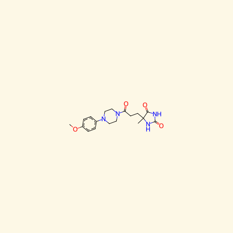 COc1ccc(N2CCN(C(=O)CCC3(C)NC(=O)NC3=O)CC2)cc1